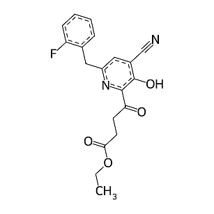 CCOC(=O)CCC(=O)c1nc(Cc2ccccc2F)cc(C#N)c1O